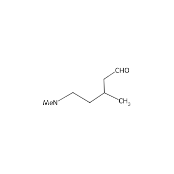 CNCCC(C)CC=O